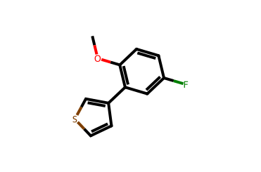 COc1ccc(F)cc1-c1ccsc1